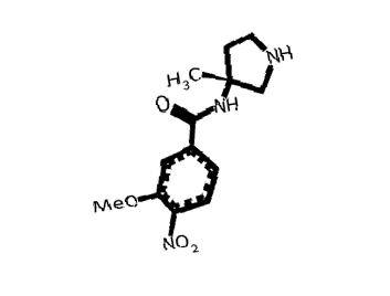 COc1cc(C(=O)N[C@]2(C)CCNC2)ccc1[N+](=O)[O-]